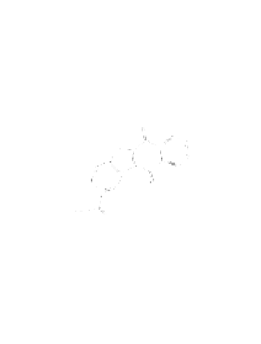 COC(=O)c1ccc2oc3c(c2c1)C(=O)c1ccccc1C3=O